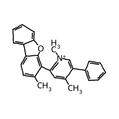 Cc1cc(-c2c(C)ccc3c2oc2ccccc23)[n+](C)cc1-c1ccccc1